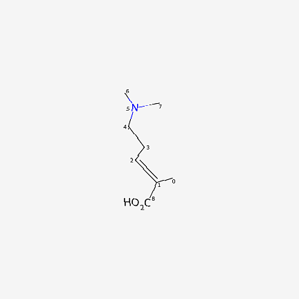 CC(=CC[CH]N(C)C)C(=O)O